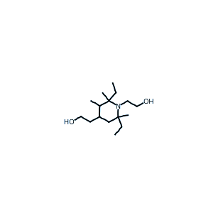 CCC1(C)CC(CCO)C(C)C(C)(CC)N1CCO